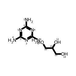 Nc1nc(N)nc(N)n1.OCC(O)CO